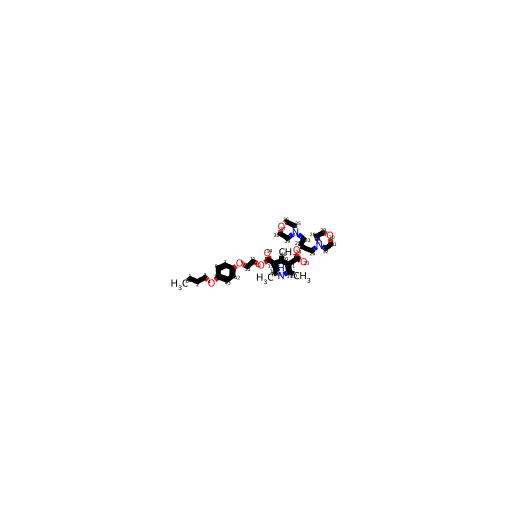 CCCCOc1ccc(OCCOC(=O)C2=C(C)NC(C)=C(C(=O)OC(CN3CCOCC3)CN3CCOCC3)C2C)cc1